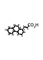 O=C(O)C=Cc1cccc2c1ccc1ccccc12